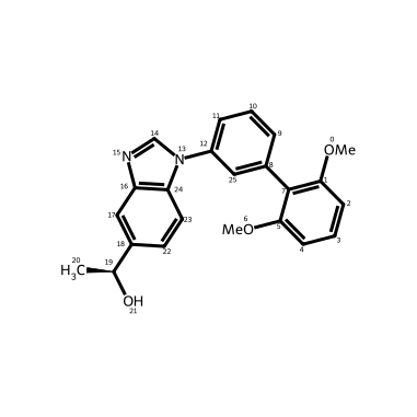 COc1cccc(OC)c1-c1cccc(-n2cnc3cc([C@H](C)O)ccc32)c1